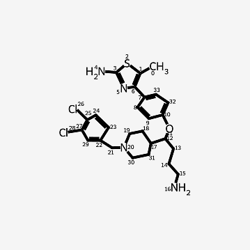 Cc1sc(N)nc1-c1ccc(OC(CCCN)C2CCN(Cc3ccc(Cl)c(Cl)c3)CC2)cc1